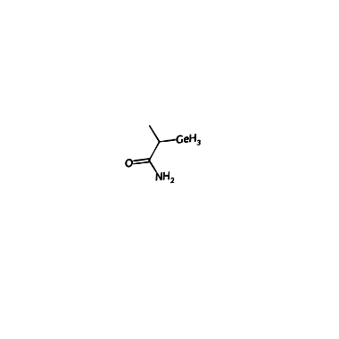 C[CH]([GeH3])C(N)=O